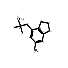 CC(C)(C=O)Cc1cc(C(C)(C)C)cc2c1CCC2